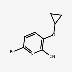 N#Cc1nc(Br)ccc1OC1CC1